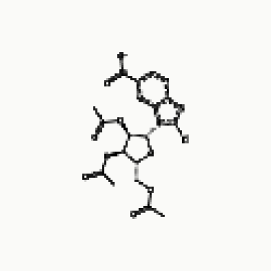 CC(=O)OC[C@H]1O[C@@H](n2c(Cl)nc3ccc([N+](=O)[O-])cc32)[C@H](OC(C)=O)[C@@H]1OC(C)=O